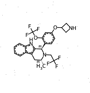 C[C@@H]1Cc2c([nH]c3ccccc23)[C@@H](c2ccc(OC3CNC3)cc2OC(F)(F)F)N1CC(F)(F)F